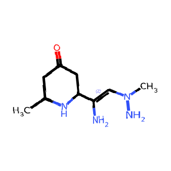 CC1CC(=O)CC(/C(N)=C/N(C)N)N1